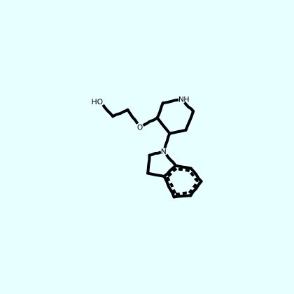 OCCOC1CNCCC1N1CCc2ccccc21